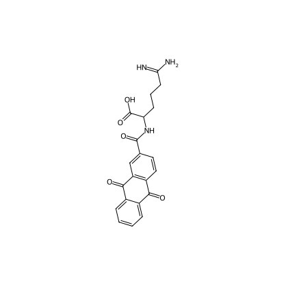 N=C(N)CCCC(NC(=O)c1ccc2c(c1)C(=O)c1ccccc1C2=O)C(=O)O